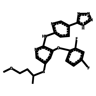 COCCC(C)Sc1cnc(Nc2ccc(-c3nnn[nH]3)cn2)c(Oc2ccc(F)cc2F)c1